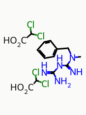 CN(Cc1ccccc1)C(=N)NC(=N)N.O=C(O)C(Cl)Cl.O=C(O)C(Cl)Cl